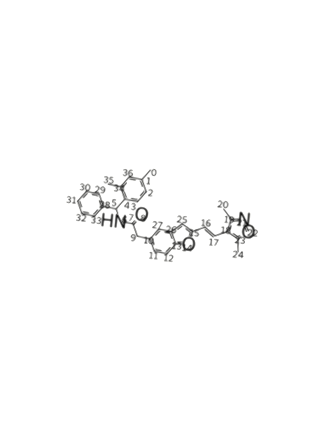 Cc1ccc(C(NC(=O)Cc2ccc3oc(C=Cc4c(C)noc4C)cc3c2)c2ccccc2)c(C)c1